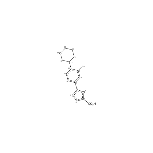 Cc1cc(-c2nc(C(=O)O)cs2)ccc1C1CCCOC1